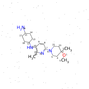 COC1(C)CCN(c2ccc(NC3CCC(N)CC3)c(C)n2)CC1